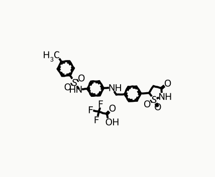 Cc1ccc(S(=O)(=O)Nc2ccc(NCc3ccc(C4CC(=O)NS4(=O)=O)cc3)cc2)cc1.O=C(O)C(F)(F)F